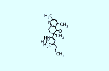 C=C(/C=C(\NC)C1(C)CCc2nc(C)cc(C)c2C1=O)CCC